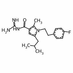 Cc1c(C(=O)NC(=N)N)cc(CC(C)C)n1CCc1ccc(F)cc1